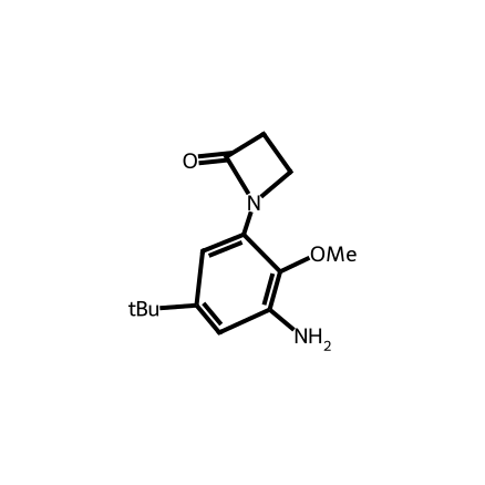 COc1c(N)cc(C(C)(C)C)cc1N1CCC1=O